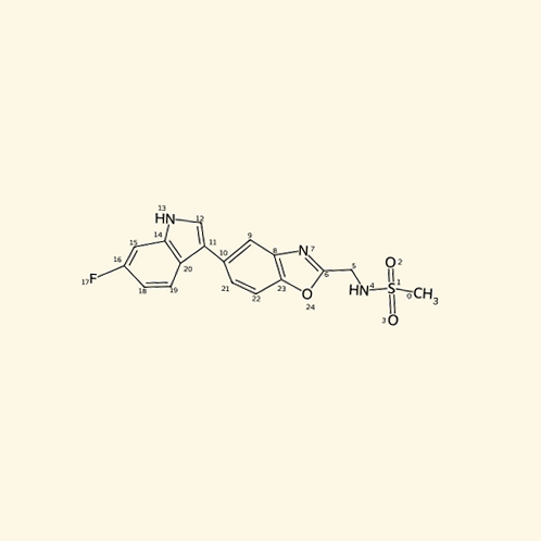 CS(=O)(=O)NCc1nc2cc(-c3c[nH]c4cc(F)ccc34)ccc2o1